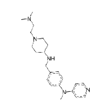 CN(C)CCN1CCC(NCc2ccc(N(C)c3ccncc3)cc2)CC1